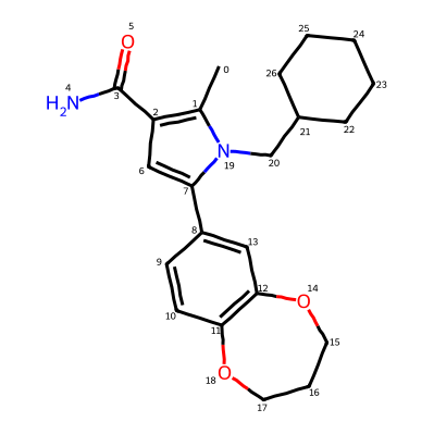 Cc1c(C(N)=O)cc(-c2ccc3c(c2)OCCCO3)n1CC1CCCCC1